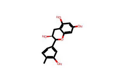 Cc1ccc(C2Oc3cc(O)cc(O)c3C[C@@H]2O)cc1O